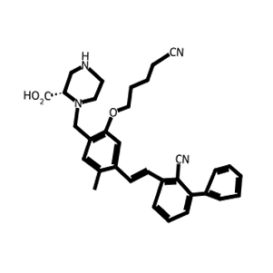 Cc1cc(CN2CCNC[C@H]2C(=O)O)c(OCCCCC#N)cc1/C=C/c1cccc(-c2ccccc2)c1C#N